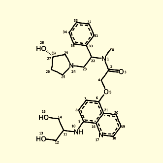 CN(C(=O)COc1ccc(NC(CO)CO)c2ncccc12)C(CN1CC[C@H](O)C1)c1ccccc1